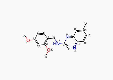 COc1ccc(CNc2cnc3ccc(C)cc3n2)c(OC)c1